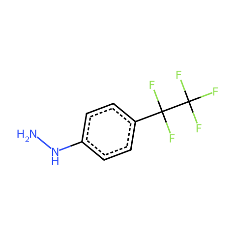 NNc1ccc(C(F)(F)C(F)(F)F)cc1